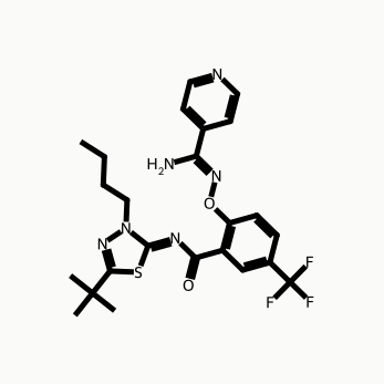 CCCCn1nc(C(C)(C)C)sc1=NC(=O)c1cc(C(F)(F)F)ccc1ON=C(N)c1ccncc1